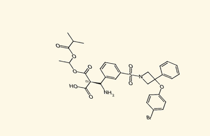 CC(OC(=O)C(C)C)OC(=O)[C@H](C(=O)O)C(N)c1cccc(S(=O)(=O)N2CC(Oc3ccc(Br)cc3)(c3ccccc3)C2)c1